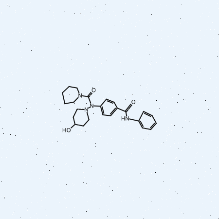 O=C(Nc1ccccc1)c1ccc(N(C(=O)N2CCCCC2)N2CCC(O)CC2)cc1